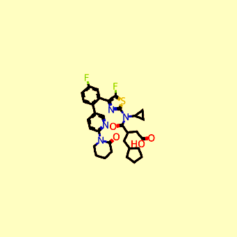 O=C(O)CC(CC1CCCC1)C(=O)N(c1nc(-c2cc(F)ccc2-c2ccc(N3CCCCC3=O)nc2)c(F)s1)C1CC1